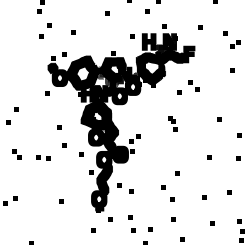 COCCCOC(=O)c1cc2cc(NC(=O)[C@H]3[C@@H](C4CCC(OC)CC4)CCN3C(=O)[C@H]3CC[C@H]([C@H](N)CF)CC3)ccc2o1